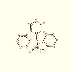 [Cl][Ni]([Cl])[PH](c1ccccc1)(c1ccccc1)c1ccccc1